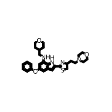 c1ccc(Oc2cc(NCC3CCOCC3)c3[nH]c(C4=NC(CCN5CCOCC5)CS4)cc3c2)cc1